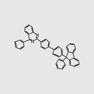 c1ccc(-c2nc(-c3ccc(-c4ccc(C5(c6ccccc6)c6ccccc6-c6ccccc65)cc4)cc3)nc3ccccc23)cc1